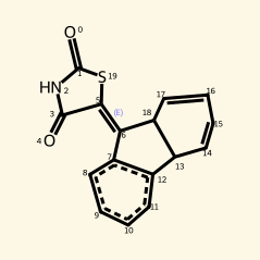 O=C1NC(=O)/C(=C2\c3ccccc3C3C=CC=CC23)S1